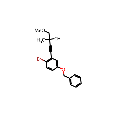 COCC(C)(C)C#Cc1cc(OCc2ccccc2)ccc1Br